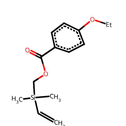 C=C[Si](C)(C)COC(=O)c1ccc(OCC)cc1